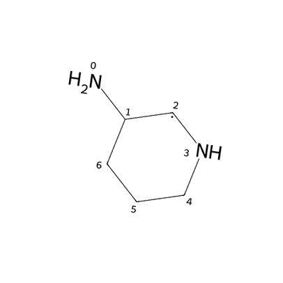 NC1[CH]NCCC1